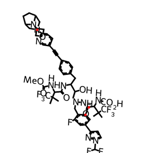 COC(=O)NC(C(=O)NC(Cc1ccc(C#Cc2ccc(N3CC4CCC(C3)N4C3COC3)nc2)cc1)C(O)CN(Cc1c(F)cc(-c2ccn(C(F)F)n2)cc1F)NC(=O)C(NC(=O)O)C(C)(C)C(F)(F)F)C(C)(C)C(F)(F)F